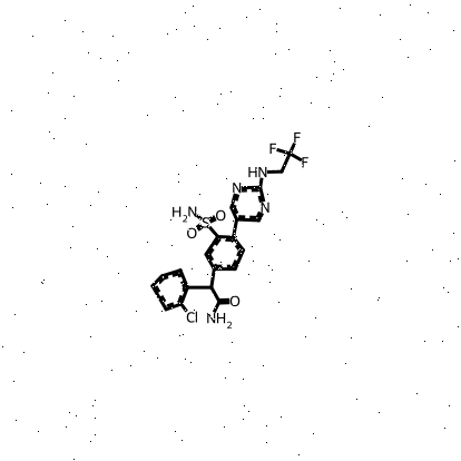 NC(=O)C(c1ccc(-c2cnc(NCC(F)(F)F)nc2)c(S(N)(=O)=O)c1)c1ccccc1Cl